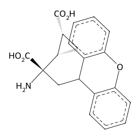 N[C@](CC1c2ccccc2Oc2ccccc21)(C(=O)O)[C@H]1C[C@H]1C(=O)O